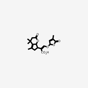 CC1=CC(OC=C(C(=O)O)C2CC(C)=C3C2OC(=O)CC3(C)C)OC1=O